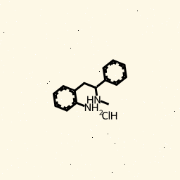 CNC(Cc1ccccc1N)c1ccccc1.Cl